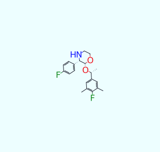 Cc1cc([C@@H](C)O[C@H]2OCCN[C@H]2c2ccc(F)cc2)cc(C)c1F